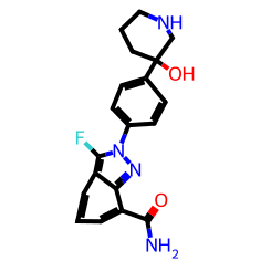 NC(=O)c1cccc2c(F)n(-c3ccc(C4(O)CCCNC4)cc3)nc12